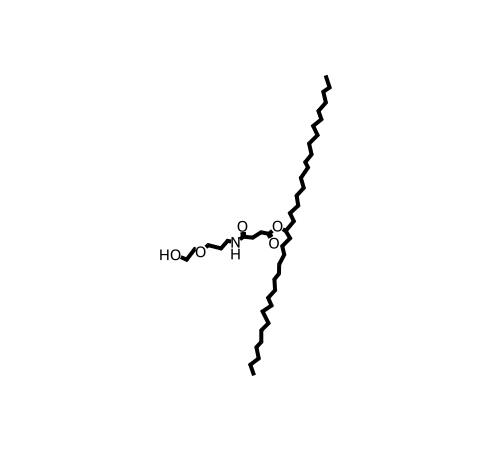 CCCCCCCCCCCCCCCCCCC(CCCCCCCCCCCCCCCCC)OC(=O)CCC(=O)NCCCOCCO